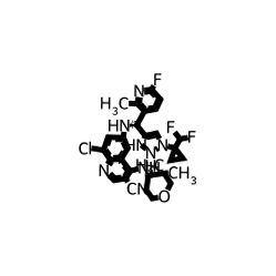 Cc1nc(F)ccc1[C@H](Nc1cc(Cl)c2ncc(C#N)c(N[C@H]3CCOCC3(C)C)c2c1)C1=CN(C2(C(F)F)CC2)NN1